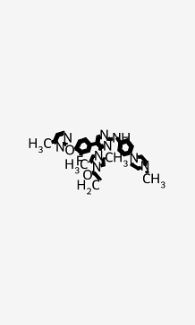 C=CC(=O)N1C[C@H](C)N(c2nc(Nc3ccc(N4CCN(CC)CC4)cc3)ncc2-c2ccc(Oc3nccc(C)n3)c(F)c2)C[C@H]1C